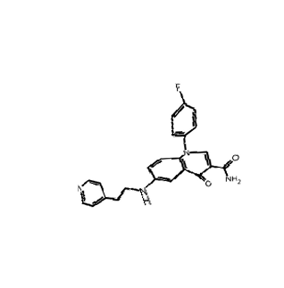 NC(=O)c1cn(-c2ccc(F)cc2)c2ccc(NCCc3ccncc3)cc2c1=O